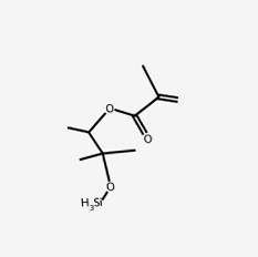 C=C(C)C(=O)OC(C)C(C)(C)O[SiH3]